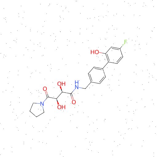 O=C(NCc1ccc(-c2ccc(F)cc2O)cc1)[C@H](O)[C@@H](O)C(=O)N1CCCC1